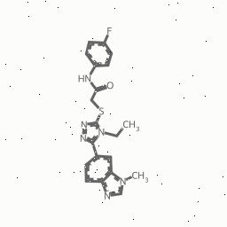 CCn1c(SCC(=O)Nc2ccc(F)cc2)nnc1-c1ccc2ncn(C)c2c1